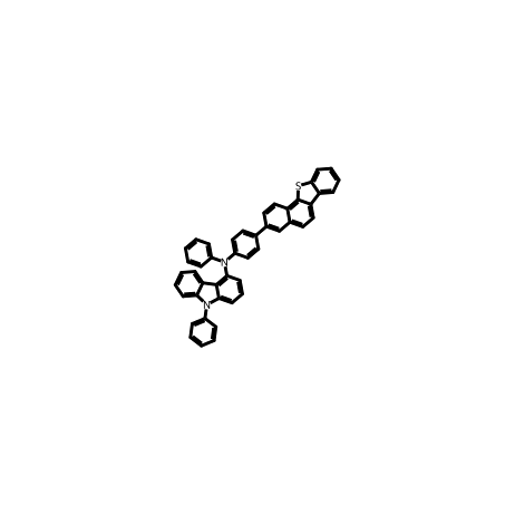 c1ccc(N(c2ccc(-c3ccc4c(ccc5c6ccccc6sc45)c3)cc2)c2cccc3c2c2ccccc2n3-c2ccccc2)cc1